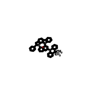 CC1(C)c2ccccc2N(c2cccc(-n3c4ccccc4c4ccc5cc(-c6ccccc6)n(-c6ccccc6)c5c43)c2)c2ccccc21